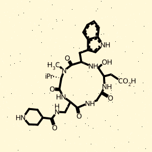 CC(C)[C@H]1C(=O)NC(CNC(=O)C2CCNCC2)C(=O)NCC(=O)NC(CC(=O)O)C(O)NC(Cc2c[nH]c3ccccc23)C(=O)N1C